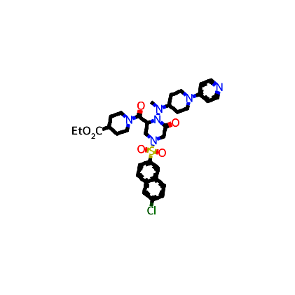 CCOC(=O)C1CCN(C(=O)C2CN(S(=O)(=O)c3ccc4cc(Cl)ccc4c3)CC(=O)N2N(C)C2CCN(c3ccncc3)CC2)CC1